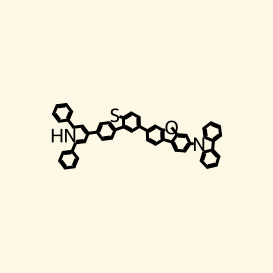 C1=C(c2ccc3c(c2)sc2ccc(-c4ccc5c(c4)oc4cc(-n6c7ccccc7c7ccccc76)ccc45)cc23)C=C(c2ccccc2)NC1c1ccccc1